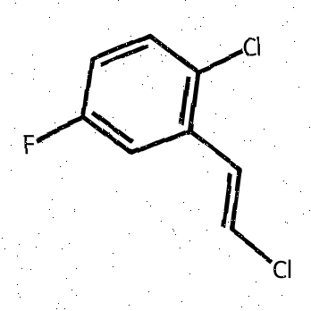 Fc1ccc(Cl)c(C=CCl)c1